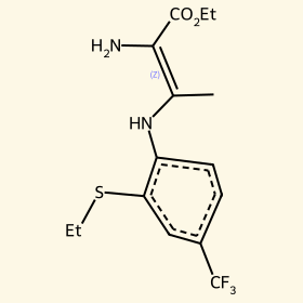 CCOC(=O)/C(N)=C(\C)Nc1ccc(C(F)(F)F)cc1SCC